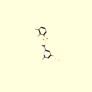 COc1cc(Cl)nc(C(=O)NS(=O)(=O)c2cccc(Cl)c2Cl)c1